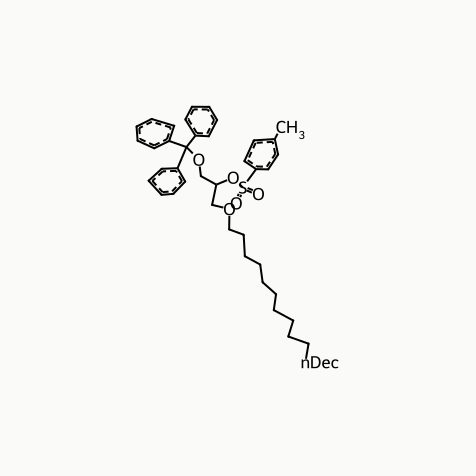 CCCCCCCCCCCCCCCCCCCCOCC(COC(c1ccccc1)(c1ccccc1)c1ccccc1)OS(=O)(=O)c1ccc(C)cc1